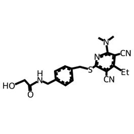 CCc1c(C#N)c(SCc2ccc(CNC(=O)CO)cc2)nc(N(C)C)c1C#N